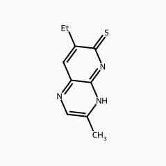 CCc1cc2ncc(C)[nH]c-2nc1=S